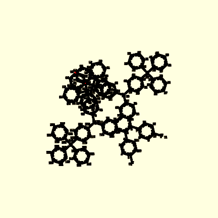 Fc1ccc(-c2c(-c3ccc(F)cc3)c3ccc(N(c4ccc([Si](c5ccccc5)(c5ccccc5)c5ccccc5)cc4)c4ccc([Si](c5ccccc5)(c5ccccc5)c5ccccc5)cc4)cc3c3cc(N(c4ccc([Si](c5ccccc5)(c5ccccc5)c5ccccc5)cc4)c4ccc([Si](c5ccccc5)(c5ccccc5)c5ccccc5)cc4)ccc23)cc1